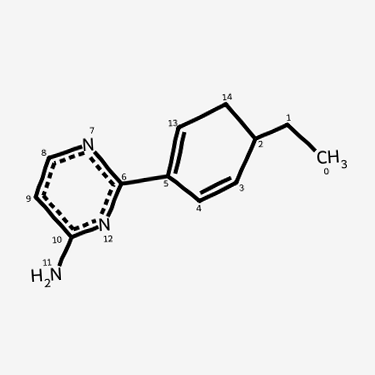 CCC1C=CC(c2nccc(N)n2)=CC1